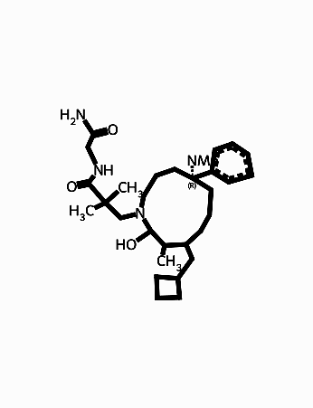 CN[C@]1(c2ccccc2)CCCC(CC2CCC2)C(C)C(O)N(CC(C)(C)C(=O)NCC(N)=O)CCC1